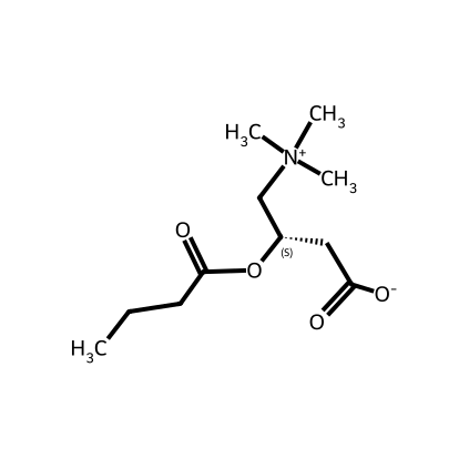 CCCC(=O)O[C@@H](CC(=O)[O-])C[N+](C)(C)C